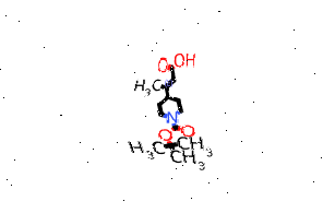 C/C(=C\C(=O)O)C1CCN(C(=O)OC(C)(C)C)CC1